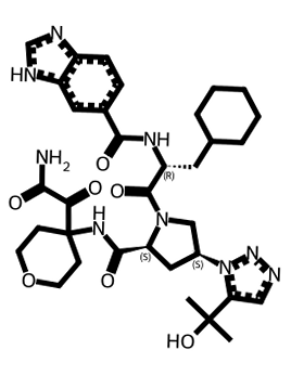 CC(C)(O)c1cnnn1[C@H]1C[C@@H](C(=O)NC2(C(=O)C(N)=O)CCOCC2)N(C(=O)[C@@H](CC2CCCCC2)NC(=O)c2ccc3nc[nH]c3c2)C1